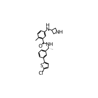 Cc1ccc(NC2CNC2)cc1C(=O)N[C@H](C)c1cccc(-c2ccc(Cl)s2)c1